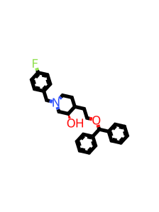 O[C@H]1CN(Cc2ccc(F)cc2)CCC1CCOC(c1ccccc1)c1ccccc1